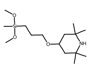 CO[Si](C)(CCCOC1CC(C)(C)NC(C)(C)C1)OC